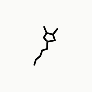 CCCCCN1CC(C)C(C)C1